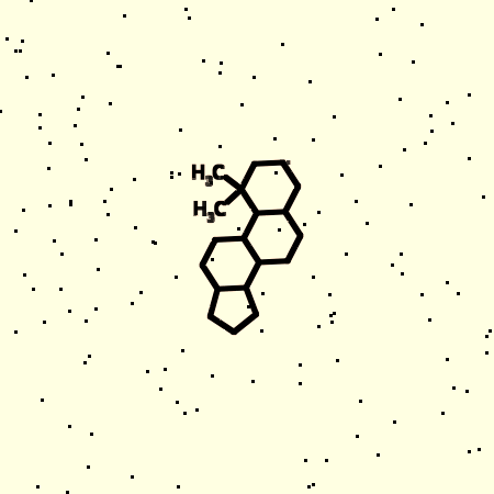 CC1(C)C[CH]CC2CCC3C4CCCC4CCC3C21